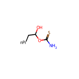 CCCCC(O)OC(N)=S